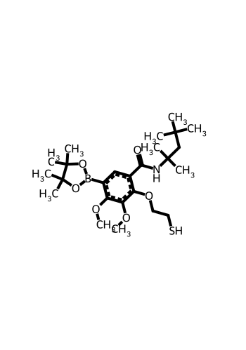 COc1c(B2OC(C)(C)C(C)(C)O2)cc(C(=O)NC(C)(C)CC(C)(C)C)c(OCCS)c1OC